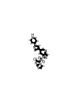 O=S(=O)(c1c(Cl)nc2sccn12)n1ncc2ncc(-c3cnn(C4CCNCC4)c3)cc21